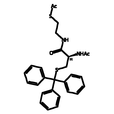 CC(=O)N[C@@H](CSC(c1ccccc1)(c1ccccc1)c1ccccc1)C(=O)NCCSC(C)=O